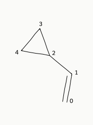 C=CC1CC1